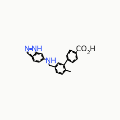 Cc1ccc(CNc2ccc3cn[nH]c3c2)cc1-c1ccc(C(=O)O)cc1